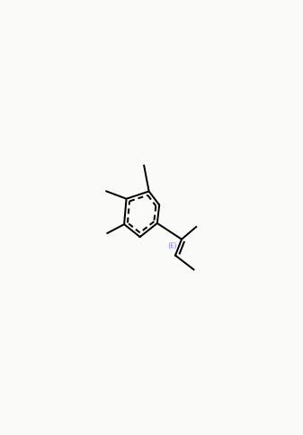 C/C=C(\C)c1cc(C)c(C)c(C)c1